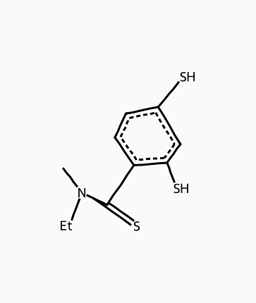 CCN(C)C(=S)c1ccc(S)cc1S